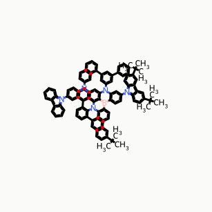 CC(C)(C)c1cccc(-c2ccc3c(c2)N(c2c(-c4ccccc4)cccc2-c2ccccc2)c2cc(N(c4ccccc4)c4ccc(-n5c6ccccc6c6ccccc65)cc4)cc4c2B3c2ccc(-n3c5ccc(C(C)(C)C)cc5c5cc(C(C)(C)C)ccc53)cc2N4c2cc(-c3ccccc3)cc(-c3ccccc3)c2)c1